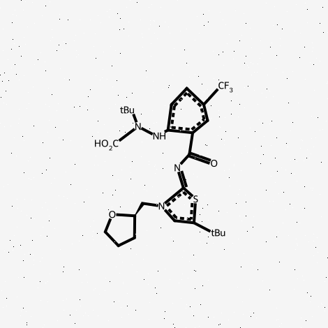 CC(C)(C)c1cn(C[C@H]2CCCO2)/c(=N/C(=O)c2cc(C(F)(F)F)ccc2NN(C(=O)O)C(C)(C)C)s1